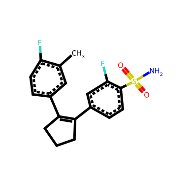 Cc1cc(C2=C(c3ccc(S(N)(=O)=O)c(F)c3)CCC2)ccc1F